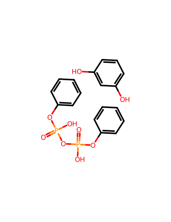 O=P(O)(Oc1ccccc1)OP(=O)(O)Oc1ccccc1.Oc1cccc(O)c1